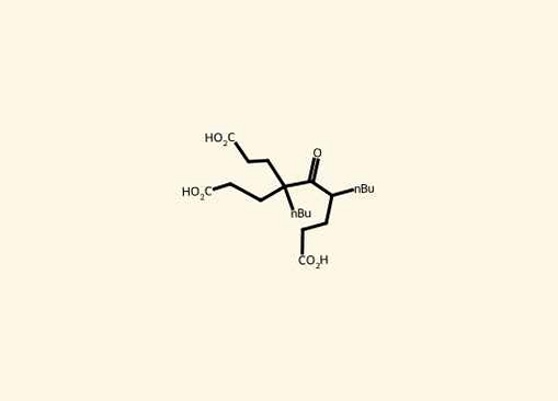 CCCCC(CCC(=O)O)C(=O)C(CCCC)(CCC(=O)O)CCC(=O)O